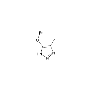 CCOc1[nH]nnc1C